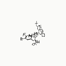 CC(=O)N[C@@H](Cc1ccc(F)c(Br)c1)[C@@H](O)CN[C@H]1CC2(CCC2)Oc2ncc(CC(C)(C)C)cc21